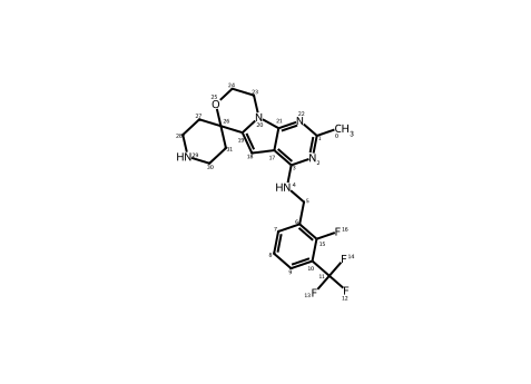 Cc1nc(NCc2cccc(C(F)(F)F)c2F)c2cc3n(c2n1)CCOC31CCNCC1